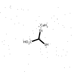 CCC(S)C(=O)O.[CaH2]